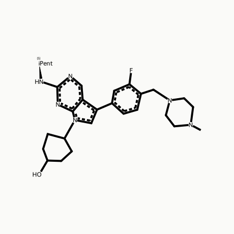 CCC[C@H](C)Nc1ncc2c(-c3ccc(CN4CCN(C)CC4)c(F)c3)cn(C3CCC(O)CC3)c2n1